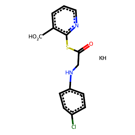 O=C(CNc1ccc(Cl)cc1)Sc1ncccc1C(=O)O.[KH]